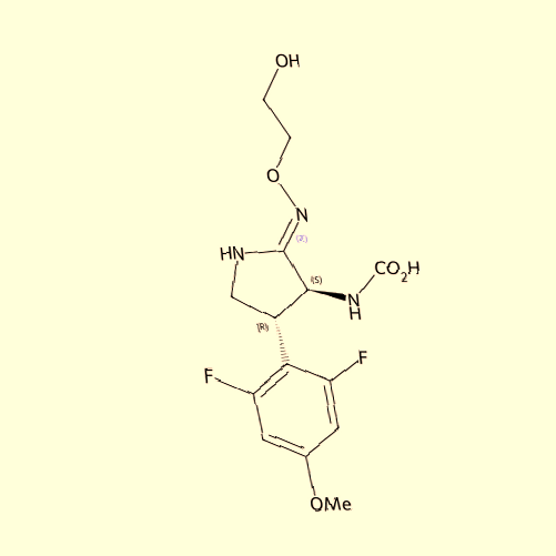 COc1cc(F)c([C@@H]2CN/C(=N\OCCO)[C@H]2NC(=O)O)c(F)c1